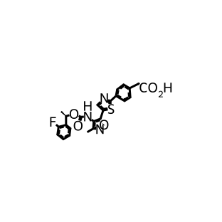 Cc1noc(-c2cnc(-c3ccc(CC(=O)O)cc3)s2)c1NC(=O)O[C@H](C)c1ccccc1F